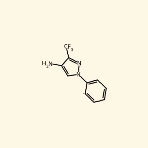 Nc1cn(-c2[c]cccc2)nc1C(F)(F)F